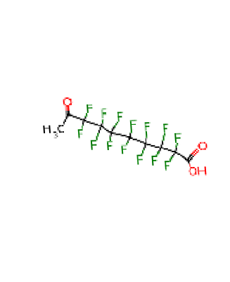 CC(=O)C(F)(F)C(F)(F)C(F)(F)C(F)(F)C(F)(F)C(F)(F)C(F)(F)C(=O)O